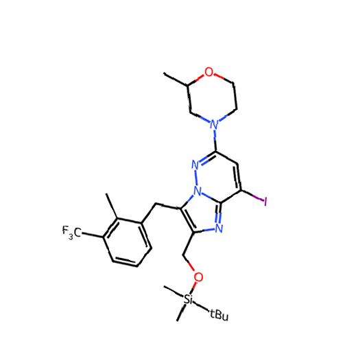 Cc1c(Cc2c(CO[Si](C)(C)C(C)(C)C)nc3c(I)cc(N4CCOC(C)C4)nn23)cccc1C(F)(F)F